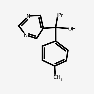 Cc1ccc(C(O)(c2cncnc2)C(C)C)cc1